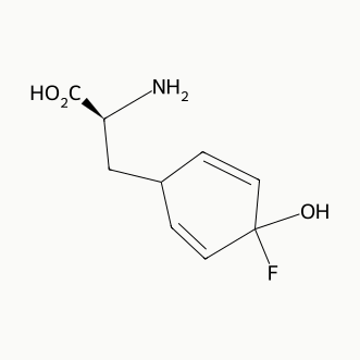 N[C@@H](CC1C=CC(O)(F)C=C1)C(=O)O